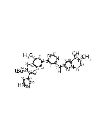 Cc1cc(-c2cc(Nc3cc4n(n3)CCN(C)C4C)ncn2)ccc1CN(C(=O)c1cn[nH]c1)C(C)(C)C